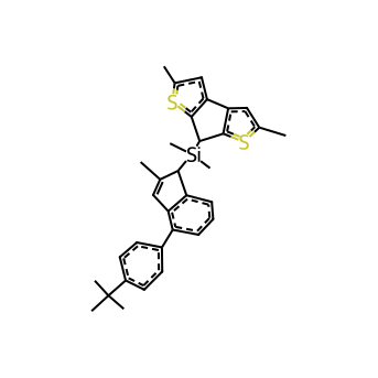 CC1=Cc2c(-c3ccc(C(C)(C)C)cc3)cccc2C1[Si](C)(C)C1c2sc(C)cc2-c2cc(C)sc21